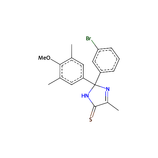 COc1c(C)cc(C2(c3cccc(Br)c3)N=C(C)C(=S)N2)cc1C